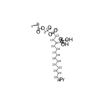 C=C(C)C(=O)OCC(=O)OC(=O)CCCCCCCCCCCCCCC(C)C.[O]=[Zr]([OH])[OH]